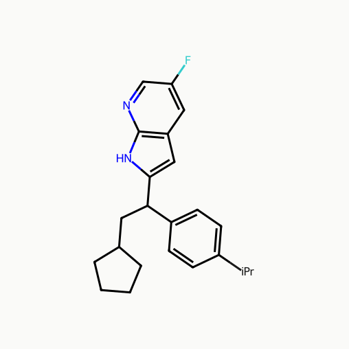 CC(C)c1ccc(C(CC2CCCC2)c2cc3cc(F)cnc3[nH]2)cc1